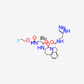 CC[C@H](C)[C@H](NC(=O)COCCF)C(=O)N[C@H]1CCc2cccc3c2N(C1=O)[C@H](C(=O)NCCc1cnn[nH]1)C3